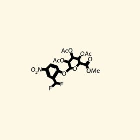 COC(=O)C1OC(Oc2ccc([N+](=O)[O-])cc2C(F)F)C(OC(C)=O)C(OC(C)=O)C1OC(C)=O